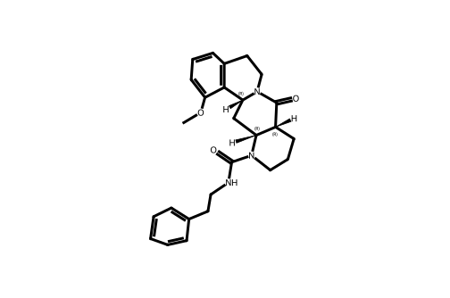 COc1cccc2c1[C@H]1C[C@@H]3[C@@H](CCCN3C(=O)NCCc3ccccc3)C(=O)N1CC2